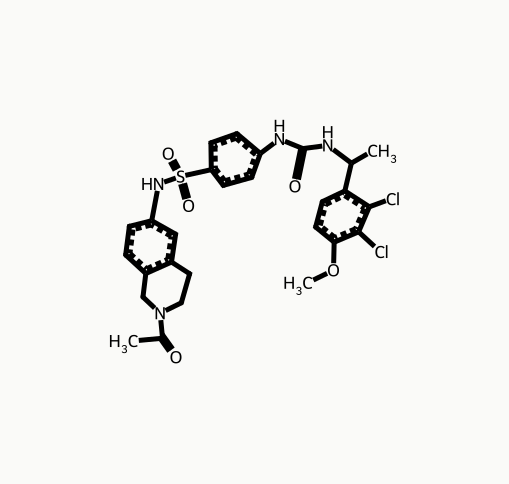 COc1ccc(C(C)NC(=O)Nc2ccc(S(=O)(=O)Nc3ccc4c(c3)CCN(C(C)=O)C4)cc2)c(Cl)c1Cl